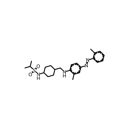 Cc1ccccc1/N=N/c1ccc(NCC2CCC(NS(=O)(=O)C(C)C)CC2)c(C)c1